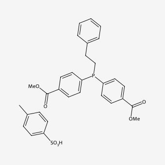 COC(=O)c1ccc(P(CCc2ccccc2)c2ccc(C(=O)OC)cc2)cc1.Cc1ccc(S(=O)(=O)O)cc1